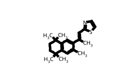 C/C(=C\c1nccs1)c1cc2c(cc1C)C(C)(C)CCC2(C)C